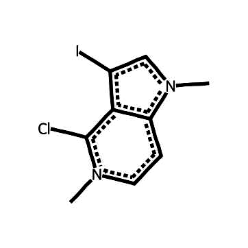 Cn1cc(I)c2c(Cl)[n+](C)ccc21